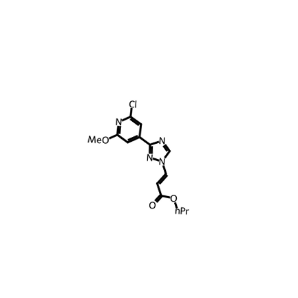 CCCOC(=O)C=Cn1cnc(-c2cc(Cl)nc(OC)c2)n1